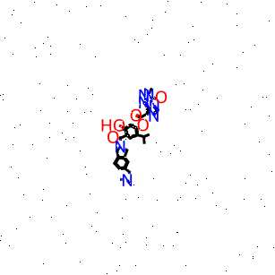 CC(C)c1cc(C(=O)N2Cc3ccc(CN(C)C)cc3C2)c(O)cc1OC(=O)c1ncn2c(=O)n(C)nnc12